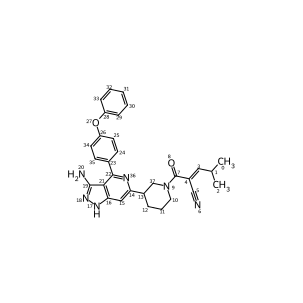 CC(C)C=C(C#N)C(=O)N1CCCC(c2cc3[nH]nc(N)c3c(-c3ccc(Oc4ccccc4)cc3)n2)C1